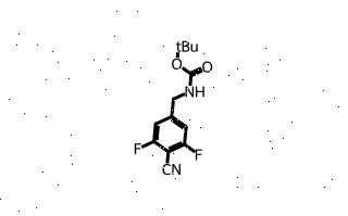 CC(C)(C)OC(=O)NCc1cc(F)c(C#N)c(F)c1